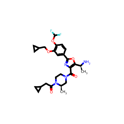 C[C@H](N)c1oc(-c2ccc(OC(F)F)c(OCC3CC3)c2)nc1C(=O)N1CCN(C(=O)CC2CC2)[C@H](C)C1